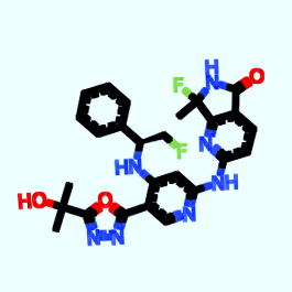 CC(C)(O)c1nnc(-c2cnc(Nc3ccc4c(n3)C(C)(F)NC4=O)cc2N[C@H](CF)c2ccccc2)o1